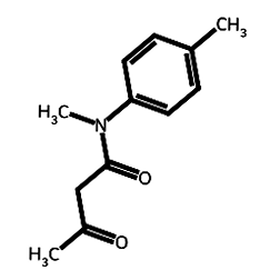 CC(=O)CC(=O)N(C)c1ccc(C)cc1